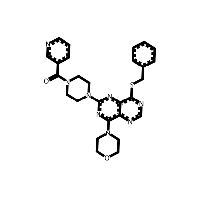 O=C(c1cccnc1)N1CCN(c2nc(N3CCOCC3)c3ncnc(SCc4ccccc4)c3n2)CC1